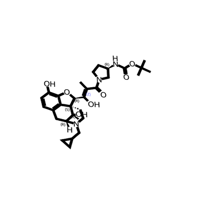 C/C(C(=O)N1CC[C@@H](NC(=O)OC(C)(C)C)C1)=C(/O)[C@@H]1Oc2c(O)ccc3c2[C@@]12CCN(CC1CC1)[C@H](C3)[C@@]2(C)O